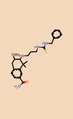 COC1Cc2ccc(C(N)=O)cc2C(C)(C)C1NCCCNC(=S)NCc1ccccc1